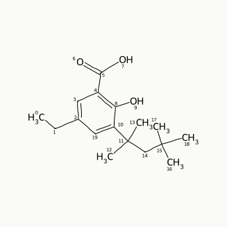 CCc1cc(C(=O)O)c(O)c(C(C)(C)CC(C)(C)C)c1